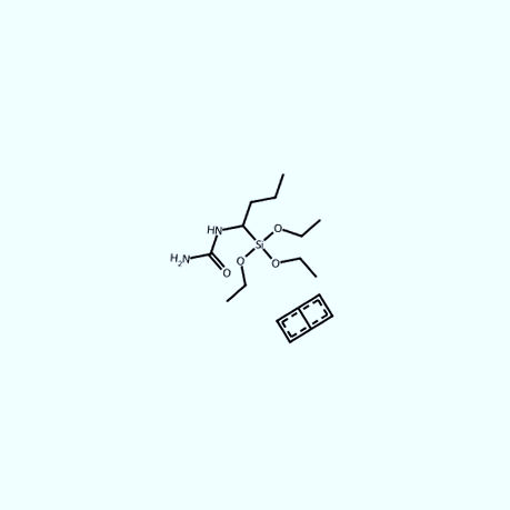 CCCC(NC(N)=O)[Si](OCC)(OCC)OCC.c1cc2ccc1-2